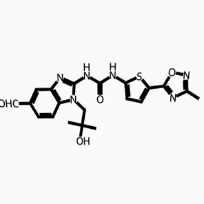 Cc1noc(-c2ccc(NC(=O)Nc3nc4cc(C=O)ccc4n3CC(C)(C)O)s2)n1